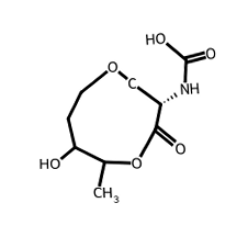 CC1OC(=O)[C@@H](NC(=O)O)COCCC1O